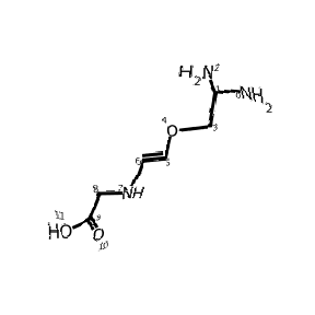 NC(N)COC=CNCC(=O)O